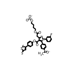 C[S+]([O-])c1ccc(-c2c(C(=O)Oc3ccc(-c4cc(=S)ss4)cc3)c(CC(=O)OCCCCO[N+](=O)[O-])nn2-c2cccc(F)c2)cc1